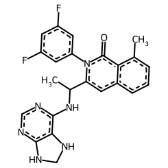 Cc1cccc2cc(C(C)Nc3ncnc4c3NCN4)n(-c3cc(F)cc(F)c3)c(=O)c12